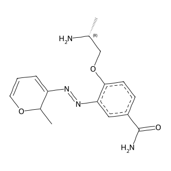 CC1OC=CC=C1N=Nc1cc(C(N)=O)ccc1OC[C@@H](C)N